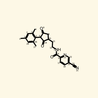 Cc1cc(C)c(C2C(=O)CC(CCNC(=O)c3ccc(C#N)cn3)C2=O)c(C)c1